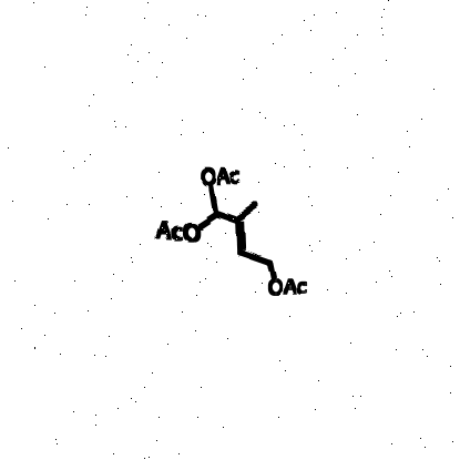 CC(=O)OC/C=C(\C)C(OC(C)=O)OC(C)=O